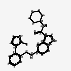 Cc1nccn1-c1ccccc1CNc1ccn2ncc(C(=O)NC3CCCCC3)c2n1